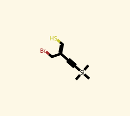 C[Si](C)(C)C#CC(=CS)CBr